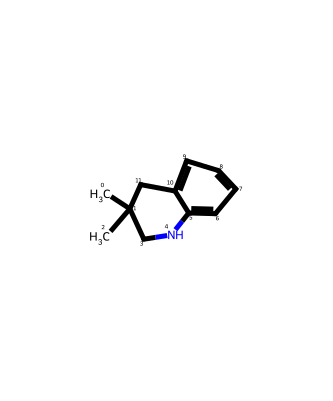 CC1(C)CNc2ccccc2C1